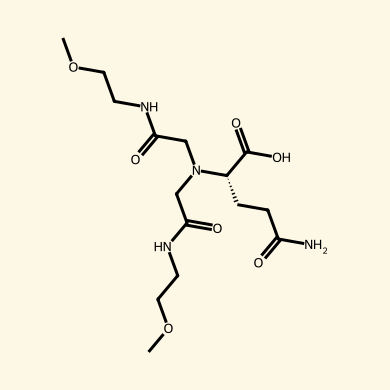 COCCNC(=O)CN(CC(=O)NCCOC)[C@@H](CCC(N)=O)C(=O)O